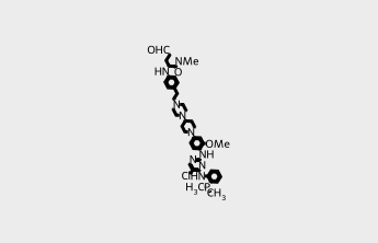 CNC(=O)C(CCC=O)Nc1ccc(CCN2CCN(C3CCN(c4ccc(Nc5ncc(Cl)c(Nc6ccccc6P(C)C)n5)c(OC)c4)CC3)CC2)cc1